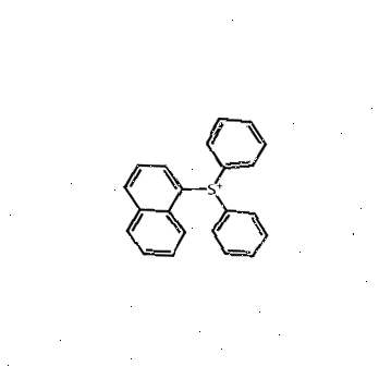 c1ccc([S+](c2ccccc2)c2cccc3ccccc23)cc1